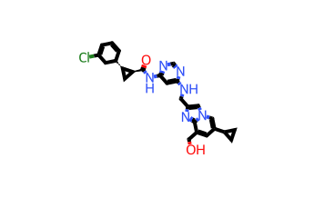 O=C(Nc1cc(NCc2cn3cc(C4CC4)cc(CO)c3n2)ncn1)[C@H]1C[C@@H]1C1C=CC=C(Cl)C1